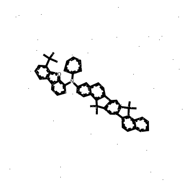 CC(C)(C)c1cccc2c1oc1c(N(c3ccccc3)c3ccc4c5c(ccc4c3)-c3cc4c(cc3C5(C)C)-c3ccc5ccccc5c3C4(C)C)cccc12